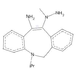 CC(C)N1Cc2ccccc2/C(N(C)N)=C(/N)c2ccccc21